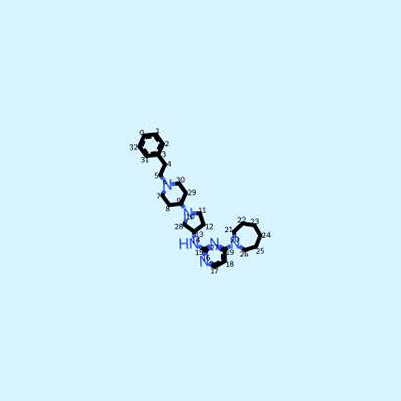 c1ccc(CCN2CCC(N3CCC(Nc4nccc(N5CCCCCC5)n4)C3)CC2)cc1